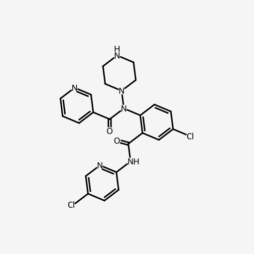 O=C(Nc1ccc(Cl)cn1)c1cc(Cl)ccc1N(C(=O)c1cccnc1)N1CCNCC1